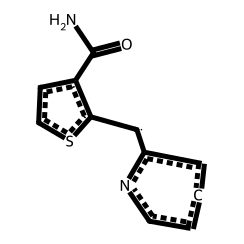 NC(=O)c1ccsc1[CH]c1ccccn1